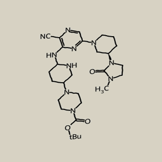 CN1CCN([C@@H]2CCCN(c3cnc(C#N)c(NC4CCC(N5CCN(C(=O)OC(C)(C)C)CC5)CN4)n3)C2)C1=O